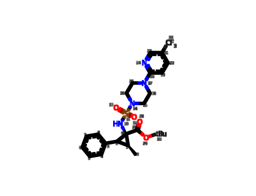 C[C@H]1C(c2ccccc2)[C@]1(NS(=O)(=O)N1CCN(c2ccc(C(F)(F)F)cn2)CC1)C(=O)OC(C)(C)C